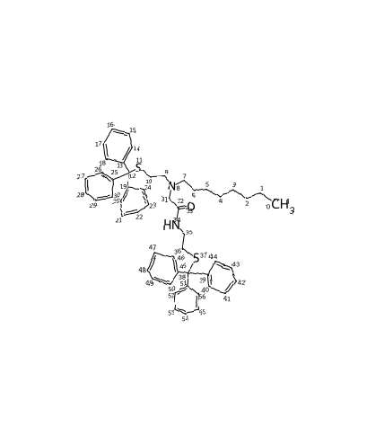 CCCCCCCCN(CCSC(c1ccccc1)(c1ccccc1)c1ccccc1)CC(=O)NCCSC(c1ccccc1)(c1ccccc1)c1ccccc1